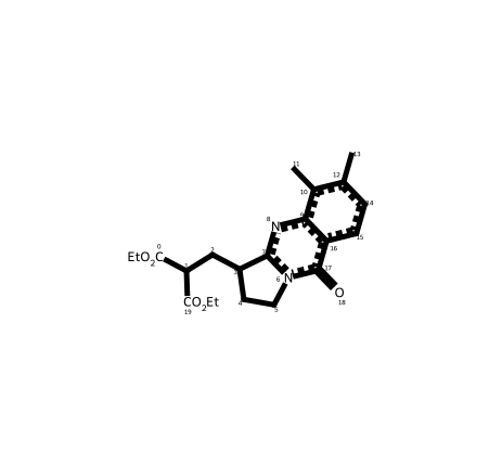 CCOC(=O)C(CC1CCn2c1nc1c(C)c(C)ccc1c2=O)C(=O)OCC